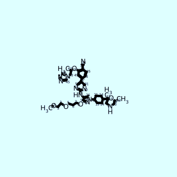 COCCOCCCOc1nn(C2CCC([C@@]3(C)CNC[C@@H](C)O3)CC2)cc1Nc1ncc(-c2ccc(C#N)c(OC(C)Cn3cnnn3)c2)cn1